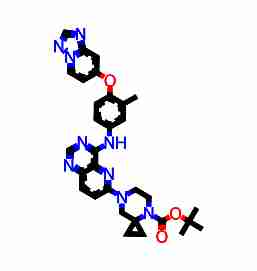 Cc1cc(Nc2ncnc3ccc(N4CCN(C(=O)OC(C)(C)C)C5(CC5)C4)nc23)ccc1Oc1ccn2ncnc2c1